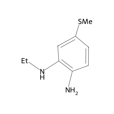 CCNc1cc(SC)ccc1N